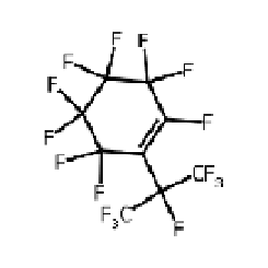 FC1=C(C(F)(C(F)(F)F)C(F)(F)F)C(F)(F)C(F)(F)C(F)(F)C1(F)F